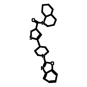 O=C(C1C=C(C2CCN(c3nc4ccccc4o3)CC2)SC1)N1CCCC2CCCCC21